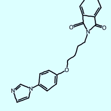 O=C1c2ccccc2C(=O)N1CCCCOc1ccc(-n2ccnc2)cc1